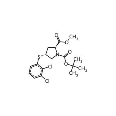 COC(=O)[C@@H]1C[C@@H](Sc2cccc(Cl)c2Cl)CN1C(=O)OC(C)(C)C